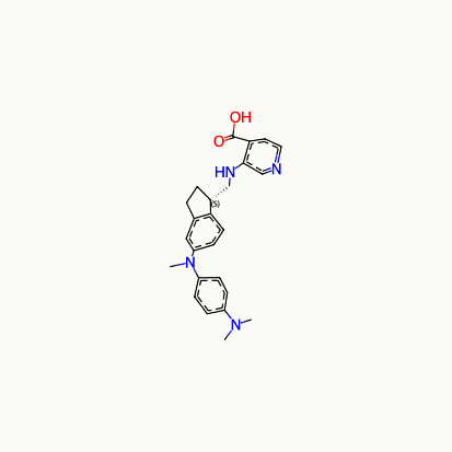 CN(C)c1ccc(N(C)c2ccc3c(c2)CC[C@@H]3CNc2cnccc2C(=O)O)cc1